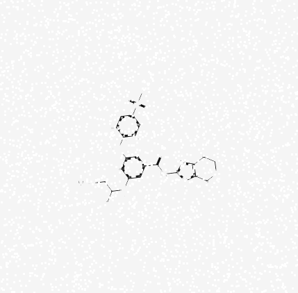 COCC(C)Oc1cc(Oc2ccc(S(C)(=O)=O)cc2)cc(C(=O)Nc2nc3c(s2)COCC3)c1